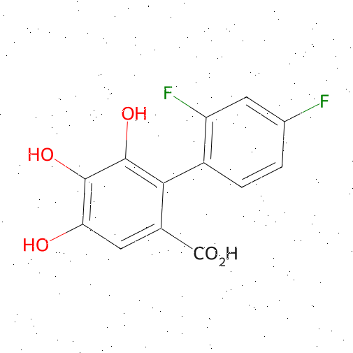 O=C(O)c1cc(O)c(O)c(O)c1-c1ccc(F)cc1F